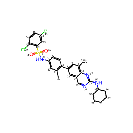 CCc1cc(-c2ccc(NS(=O)(=O)c3cc(Cl)ccc3Cl)cc2C)cc2cnc(NC3CCCCC3)nc12